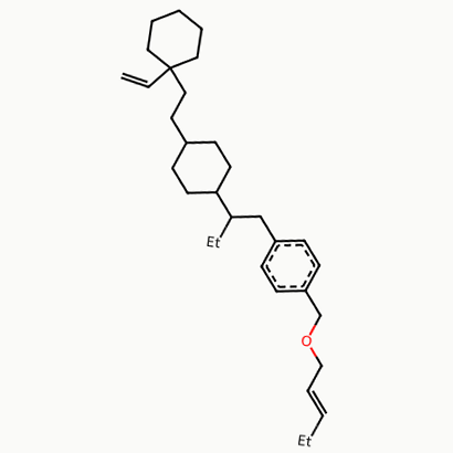 C=CC1(CCC2CCC(C(CC)Cc3ccc(COCC=CCC)cc3)CC2)CCCCC1